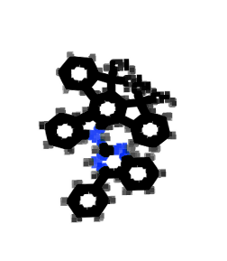 CC1(C)c2ccccc2-c2c1c1c(c3c2c2ccccc2n3-c2nc(-c3ccccc3)c3ccccc3n2)-c2ccccc2C1(C)C